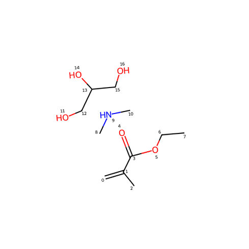 C=C(C)C(=O)OCC.CNC.OCC(O)CO